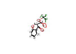 O=C(OC(F)(F)F)C1COc2ccccc2C1=O